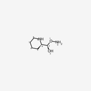 NO[C@@H](O)[C@H]1CCCCN1